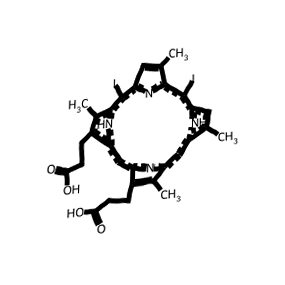 CC1=Cc2nc1c(I)c1cc(C)c(cc3nc(cc4[nH]c(c(C)c4CCC(=O)O)c2I)C(CCC(=O)O)=C3C)[nH]1